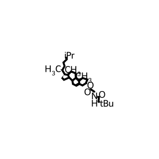 CC(C)CCC[C@@H](C)[C@H]1CCC2C3CC=C4C[C@@H](OC(=O)CNC(=O)CC(C)(C)C)CC[C@]4(C)C3CC[C@@]21C